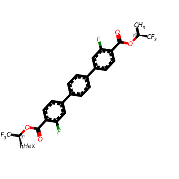 CCCCCC[C@H](OC(=O)c1ccc(-c2ccc(-c3ccc(C(=O)O[C@@H](C)C(F)(F)F)c(F)c3)cc2)cc1F)C(F)(F)F